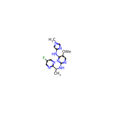 COc1cnc(NC(C)c2ncc(F)cn2)nc1Nc1cn(C)cn1